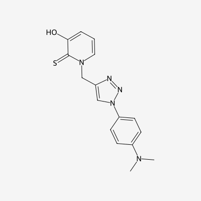 CN(C)c1ccc(-n2cc(Cn3cccc(O)c3=S)nn2)cc1